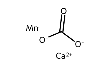 O=C([O-])[O-].[Ca+2].[Mn]